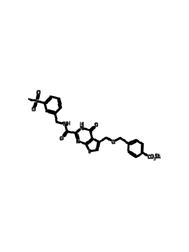 CCOC(=O)c1ccc(COCc2csc3nc(C(=O)NCc4cccc(S(C)(=O)=O)c4)[nH]c(=O)c23)cc1